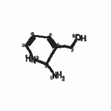 N[C]1NC=CC=C1CO